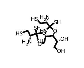 N[C@@H](CS)C(S)(S)O[C@@H]([C@H](O)CO)[C@H](C=O)OC(S)(S)[C@@H](N)CS